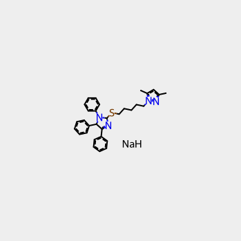 Cc1cc(C)n(CCCCCSC2N=C(c3ccccc3)C(c3ccccc3)N2c2ccccc2)n1.[NaH]